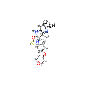 CN(C(=O)C1(N(C=S)c2ccc(OC3CCOCC3)cc2)CCC1)c1cnc(C#N)c(C(F)(F)F)c1